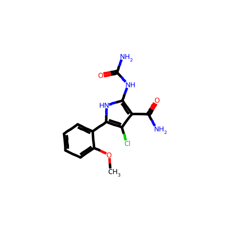 COc1ccccc1-c1[nH]c(NC(N)=O)c(C(N)=O)c1Cl